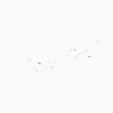 COc1cc(C)cc(-c2ccc([C@H](CNC(=O)c3ccc(C[C@@H](N)C(=O)O)cc3)C(C)C)cc2)c1